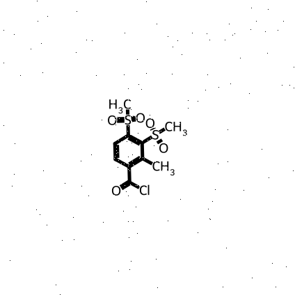 Cc1c(C(=O)Cl)ccc(S(C)(=O)=O)c1S(C)(=O)=O